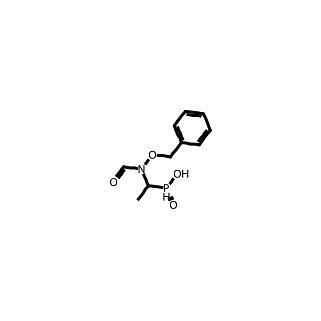 CC(N(C=O)OCc1ccccc1)[PH](=O)O